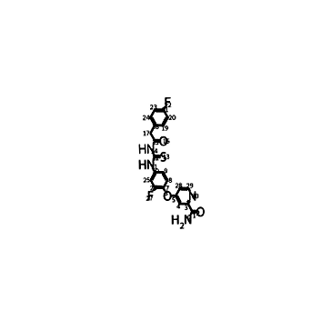 NC(=O)c1cc(Oc2ccc(NC(=S)NC(=O)Cc3ccc(F)cc3)cc2F)ccn1